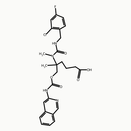 CN(C(=O)NCc1ccc(F)cc1Cl)C(C)(CCCC(=O)O)COC(=O)Nc1cc2ccccc2cn1